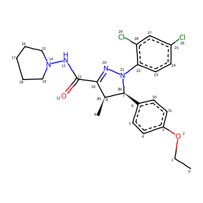 CCOc1ccc([C@H]2[C@@H](C)C(C(=O)NN3CCCCC3)=NN2c2ccc(Cl)cc2Cl)cc1